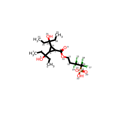 CCC(O)(CC)C1C(C(=O)OCCC(F)(F)C(F)(F)S(=O)(=O)O)C1C(O)(CC)CC